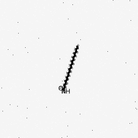 CCCCCCCCCCCCCCCCCCCCCCC([NH])=O